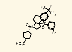 O=C(O)[C@H]1CC[C@H](C(=O)N2CCC3(S(=O)(=O)c4cccc(Br)c4)c4ccc(C(F)(C(F)(F)F)C(F)(F)F)cc4CCC23)CC1